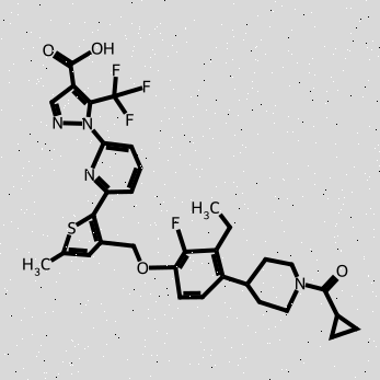 CCc1c(C2CCN(C(=O)C3CC3)CC2)ccc(OCc2cc(C)sc2-c2cccc(-n3ncc(C(=O)O)c3C(F)(F)F)n2)c1F